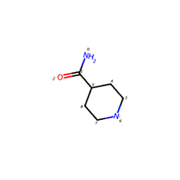 NC(=O)C1CC[N]CC1